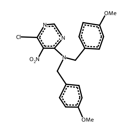 COc1ccc(CN(Cc2ccc(OC)cc2)c2ncnc(Cl)c2[N+](=O)[O-])cc1